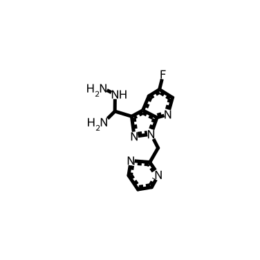 NNC(N)c1nn(Cc2ncccn2)c2ncc(F)cc12